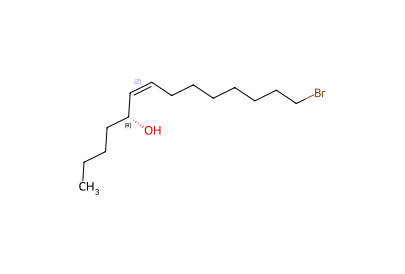 CCCC[C@@H](O)/C=C\CCCCCCCBr